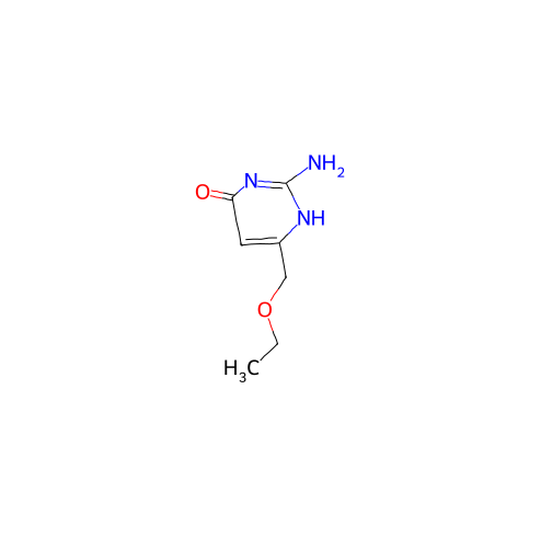 CCOCc1cc(=O)nc(N)[nH]1